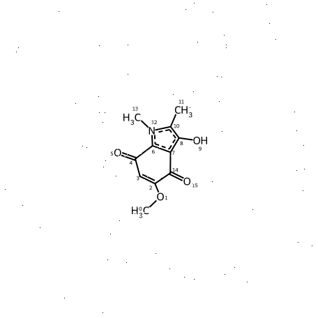 COC1=CC(=O)c2c(c(O)c(C)n2C)C1=O